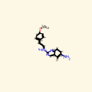 CCCCOc1ccc(CCNc2ncc3cc(N)ccc3n2)cc1